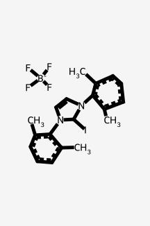 Cc1cccc(C)c1N1C=CN(c2c(C)cccc2C)C1I.F[B-](F)(F)F